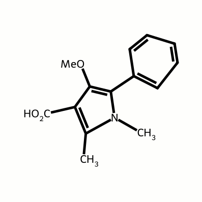 COc1c(C(=O)O)c(C)n(C)c1-c1ccccc1